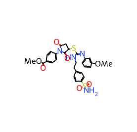 COC(=O)c1ccc(N2C(=O)CC(S/C(=N/c3cccc(OC)c3)NCCc3ccc(S(N)(=O)=O)cc3)C2=O)cc1